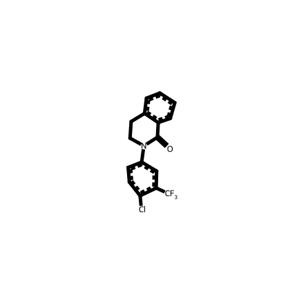 O=C1c2ccccc2CCN1c1ccc(Cl)c(C(F)(F)F)c1